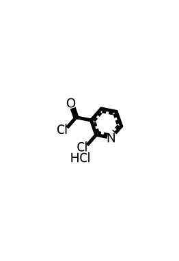 Cl.O=C(Cl)c1cccnc1Cl